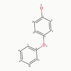 [O]c1ccc(Oc2ccccc2)cc1